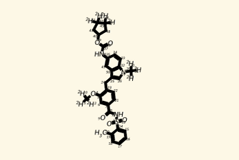 [2H]C([2H])([2H])Oc1cc(C(=O)NS(=O)(=O)c2ccccc2C)ccc1Cc1cn(C([2H])([2H])[2H])c2ccc(NC(=O)OC3CC([2H])([2H])C([2H])([2H])C3)cc12